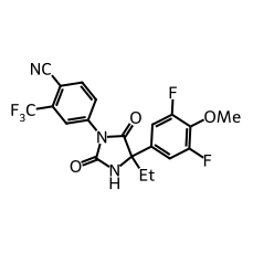 CCC1(c2cc(F)c(OC)c(F)c2)NC(=O)N(c2ccc(C#N)c(C(F)(F)F)c2)C1=O